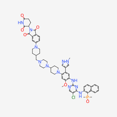 COc1cc(N2CCC(N3CCN(CC4CCN(c5ccc6c(c5)C(=O)N(C5CCC(=O)NC5=O)C6=O)CC4)CC3)CC2)c(-c2cnn(C)c2)cc1Nc1ncc(Cl)c(Nc2ccc3ccccc3c2P(C)(C)=O)n1